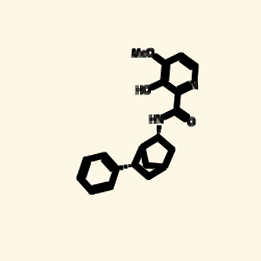 COc1ccnc(C(=O)N[C@@H]2CC3CC2[C@@H](c2ccccc2)C3)c1O